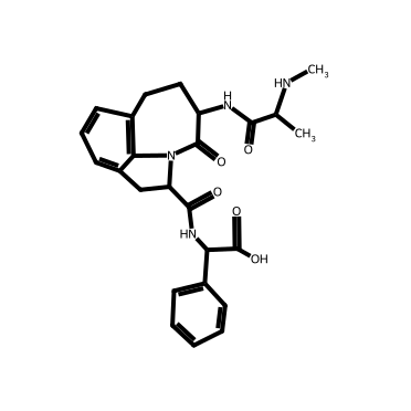 CNC(C)C(=O)NC1CCc2cccc3c2N(C1=O)C(C(=O)NC(C(=O)O)c1ccccc1)C3